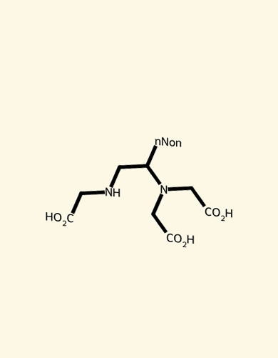 CCCCCCCCCC(CNCC(=O)O)N(CC(=O)O)CC(=O)O